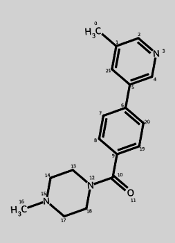 Cc1cncc(-c2ccc(C(=O)N3CCN(C)CC3)cc2)c1